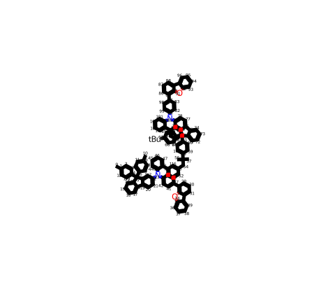 Cc1ccc(C2(c3ccc(C)cc3)c3ccccc3-c3ccc(N(c4ccc(-c5cccc6c5oc5ccccc56)cc4)c4ccccc4-c4cccc(CC(C)(C)c5ccc(C6(c7ccc(C(C)(C)C)cc7)c7ccccc7-c7ccc(N(c8ccc(-c9cccc%10c9oc9ccccc9%10)cc8)c8ccccc8-c8ccccc8)cc76)cc5)c4)cc32)cc1